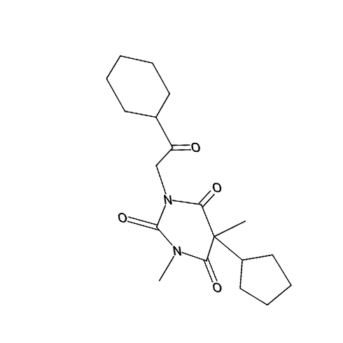 CN1C(=O)N(CC(=O)C2CCCCC2)C(=O)C(C)(C2CCCC2)C1=O